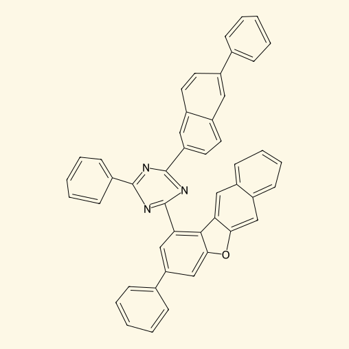 c1ccc(-c2ccc3cc(-c4nc(-c5ccccc5)nc(-c5cc(-c6ccccc6)cc6oc7cc8ccccc8cc7c56)n4)ccc3c2)cc1